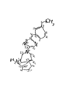 CCc1cccc(Sc2cnc(N3CCC4(CCC[C@H]4N)CC3)cn2)c1